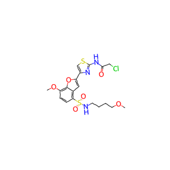 COCCCCNS(=O)(=O)c1ccc(OC)c2oc(-c3csc(NC(=O)CCl)n3)cc12